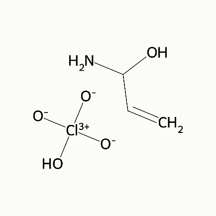 C=CC(N)O.[O-][Cl+3]([O-])([O-])O